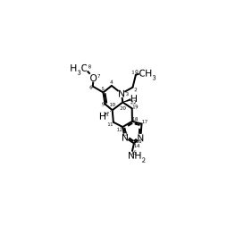 CCCN1CC(COC)=C[C@@H]2Cc3nc(N)ncc3C[C@H]21